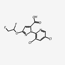 O=C(O)c1cc(OC(F)CF)nn1-c1ncc(Cl)cc1Cl